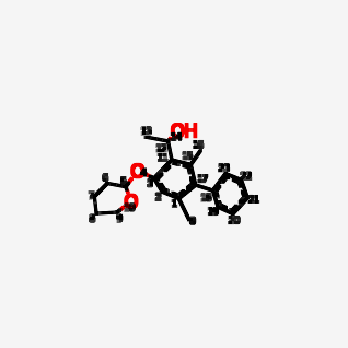 Cc1cc(OC2CCCCO2)c(C(C)O)c(C)c1-c1ccccc1